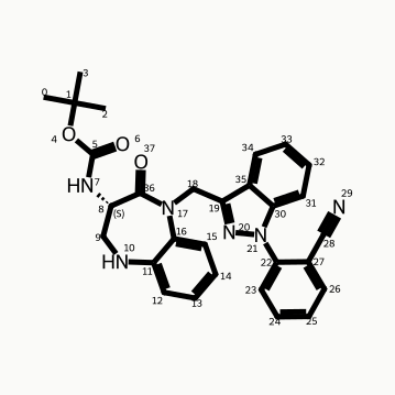 CC(C)(C)OC(=O)N[C@H]1CNc2ccccc2N(Cc2nn(-c3ccccc3C#N)c3ccccc23)C1=O